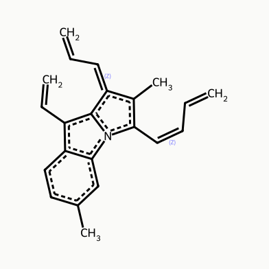 C=C/C=C\c1c(C)/c(=C/C=C)c2c(C=C)c3ccc(C)cc3n12